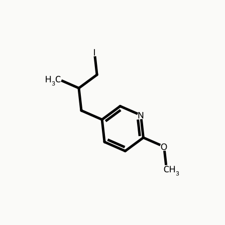 COc1ccc(CC(C)CI)cn1